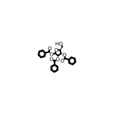 O=C(OC1O[C@@H](CO)[C@H](OC(=O)c2ccccc2)[C@@H]1OC(=O)c1ccccc1)c1ccccc1